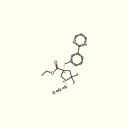 CCOC(=O)[C@]1(Cc2cccc(-c3ncccn3)c2)C[C@@H](N=[N+]=[N-])C(F)(F)C1